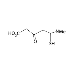 CNC(S)CC(=O)CC(=O)O